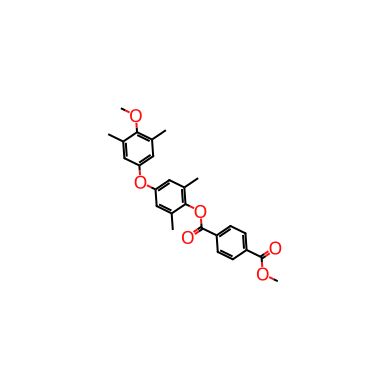 COC(=O)c1ccc(C(=O)Oc2c(C)cc(Oc3cc(C)c(OC)c(C)c3)cc2C)cc1